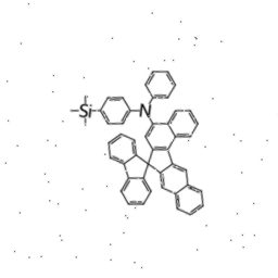 C[Si](C)(C)c1ccc(N(c2ccccc2)c2cc3c(c4ccccc24)-c2cc4ccccc4cc2C32c3ccccc3-c3ccccc32)cc1